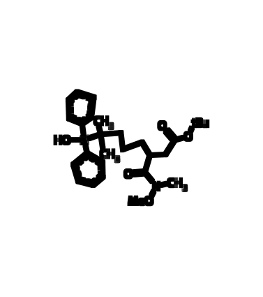 CON(C)C(=O)C(CCCC(C)(C)[Si](O)(c1ccccc1)c1ccccc1)CC(=O)OC(C)(C)C